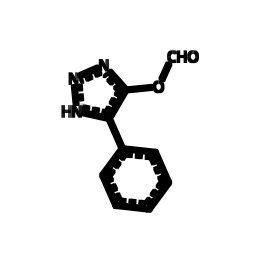 O=COc1nn[nH]c1-c1ccccc1